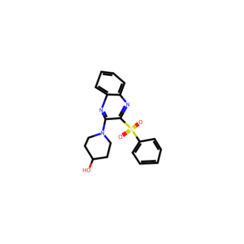 O=S(=O)(c1ccccc1)c1nc2ccccc2nc1N1CCC(O)CC1